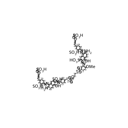 COc1ccc(S(=O)(=O)CCCCOCS(=O)(=O)CCc2ccc(N=Nc3c(S(=O)(=O)O)cc4c(N=Nc5ccc(SC#COOS(=O)(=O)O)cc5S(=O)(=O)O)c(N)ccc4c3O)cc2)cc1N=Nc1c(S(=O)(=O)O)cc2c(N=Nc3ccc(SC#COOS(=O)(=O)O)cc3S(=O)(=O)O)c(N)ccc2c1O